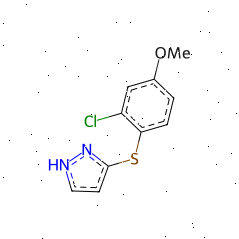 COc1ccc(Sc2cc[nH]n2)c(Cl)c1